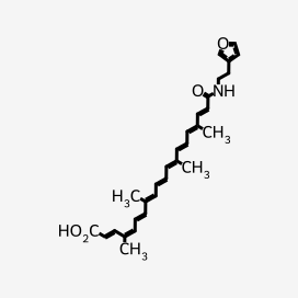 CC(=C/C=C/C(C)=C/C=C/C=C(C)/C=C/C=C(C)/C=C/C(=O)NCCc1ccoc1)/C=C/C(=O)O